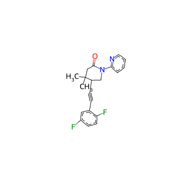 CC1(C)CC(=O)N(c2ccccn2)CC1C#Cc1cc(F)ccc1F